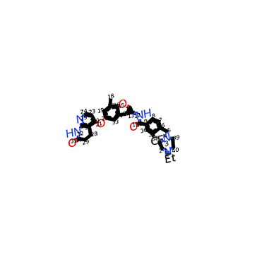 CCN1CCN(Cc2ccc(C(=O)NC3C4Oc5c(C)cc(Oc6ccnc7c6CCC(=O)N7)cc5C34)cc2C(F)(F)F)CC1